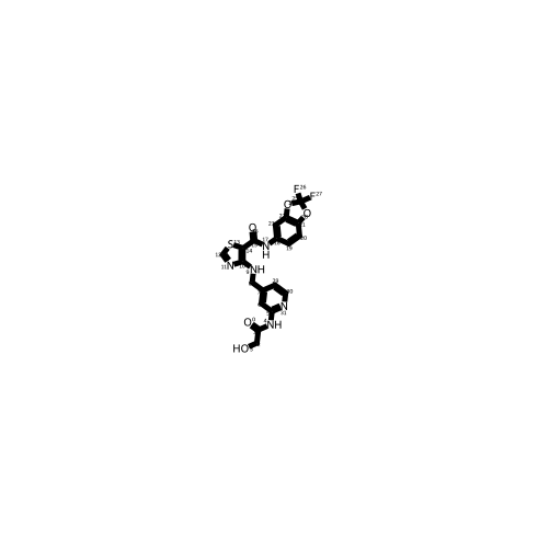 O=C(CO)Nc1cc(CNc2ncsc2C(=O)Nc2ccc3c(c2)OC(F)(F)O3)ccn1